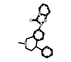 CN1CCC(c2ccccc2)c2ccc(-n3nc4ccccn4c3=O)cc2C1